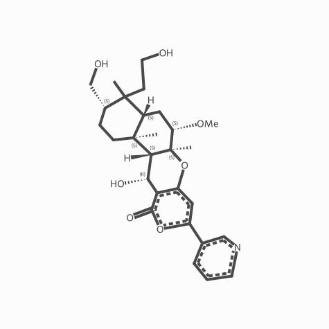 CO[C@H]1C[C@H]2C(C)(CCO)[C@@H](CO)CC[C@]2(C)[C@H]2[C@@H](O)c3c(cc(-c4cccnc4)oc3=O)O[C@]12C